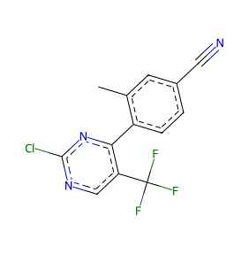 Cc1cc(C#N)ccc1-c1nc(Cl)ncc1C(F)(F)F